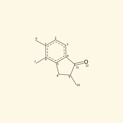 Cc1ccc2c(c1C)CC(C)C2=O